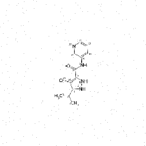 CC(C)C1NNC(C(=O)Nc2cccnc2)=C1Cl